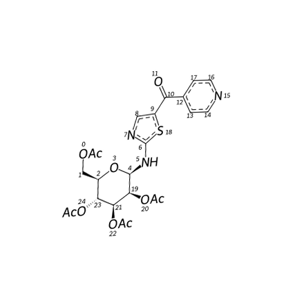 CC(=O)OC[C@H]1O[C@@H](Nc2ncc(C(=O)c3ccncc3)s2)[C@@H](OC(C)=O)[C@@H](OC(C)=O)[C@@H]1OC(C)=O